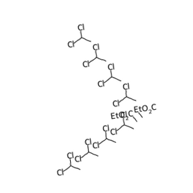 CC(Cl)Cl.CC(Cl)Cl.CC(Cl)Cl.CC(Cl)Cl.CC(Cl)Cl.CC(Cl)Cl.CC(Cl)Cl.CC(Cl)Cl.CCOC(C)=O.CCOC(C)=O